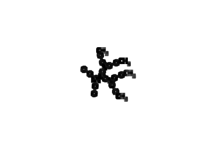 Cc1ccc(-c2ccc3c(c2)c2cc(-c4ccc(C)cc4)ccc2n3-c2ccc3c(c2)c2cc(-n4c5ccc(-c6ccc(C)cc6)cc5c5cc(-c6ccc(C)cc6)ccc54)ccc2n3-c2cc(-c3ccc(-c4ccccc4)cc3)nc(-c3ccc(-c4ccccc4)cc3)n2)cc1